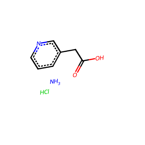 Cl.N.O=C(O)Cc1cccnc1